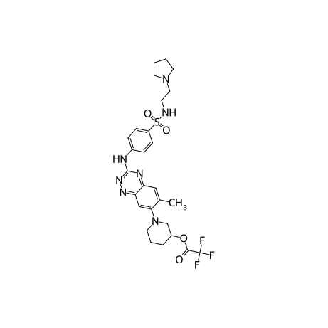 Cc1cc2nc(Nc3ccc(S(=O)(=O)NCCN4CCCC4)cc3)nnc2cc1N1CCCC(OC(=O)C(F)(F)F)C1